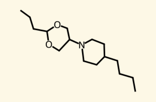 CCCCC1CCN(C2COC(CCC)OC2)CC1